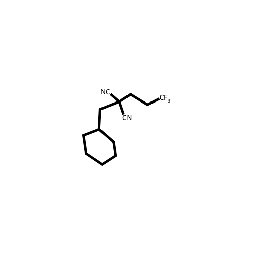 N#CC(C#N)(CCC(F)(F)F)CC1CCCCC1